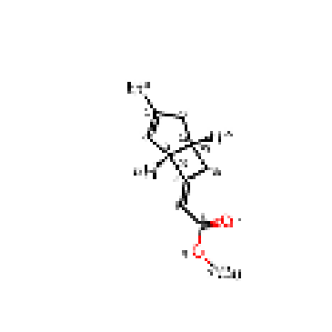 CCC1=C[C@H]2C(=CC(=O)OC(C)(C)C)C[C@H]2C1